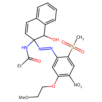 CCC(=O)NC1(/N=N/c2cc(OCCOC)c([N+](=O)[O-])cc2S(C)(=O)=O)C=Cc2ccccc2C1O